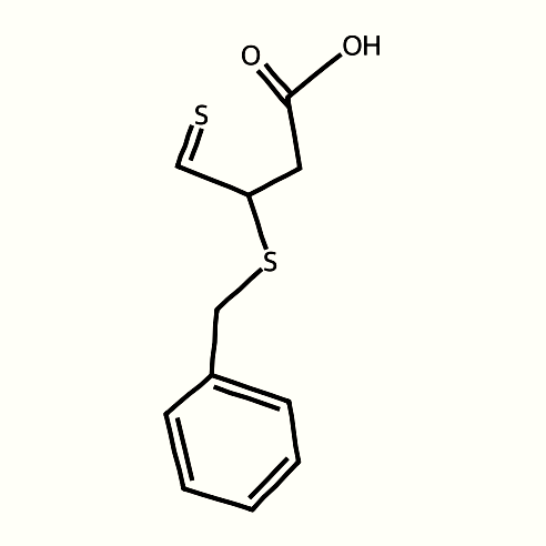 O=C(O)CC(C=S)SCc1ccccc1